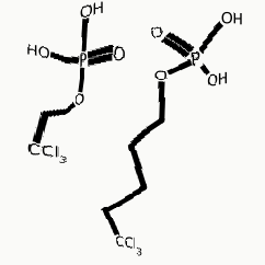 O=P(O)(O)OCC(Cl)(Cl)Cl.O=P(O)(O)OCCCCC(Cl)(Cl)Cl